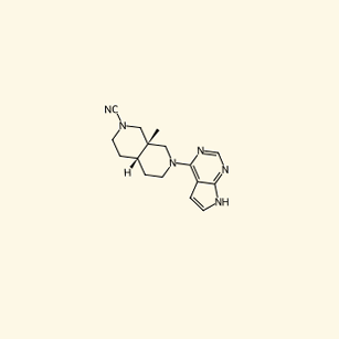 C[C@]12CN(C#N)CC[C@H]1CCN(c1ncnc3[nH]ccc13)C2